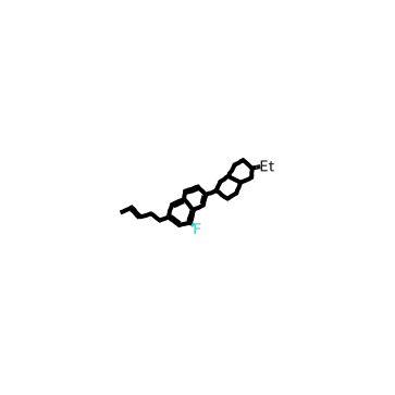 CC=CCCc1cc(F)c2cc(C3CCC4CC(CC)CCC4C3)ccc2c1